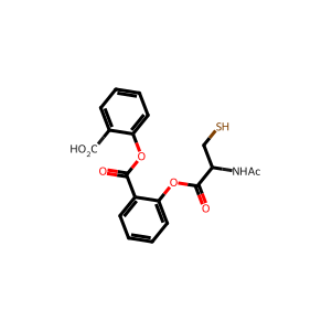 CC(=O)NC(CS)C(=O)Oc1ccccc1C(=O)Oc1ccccc1C(=O)O